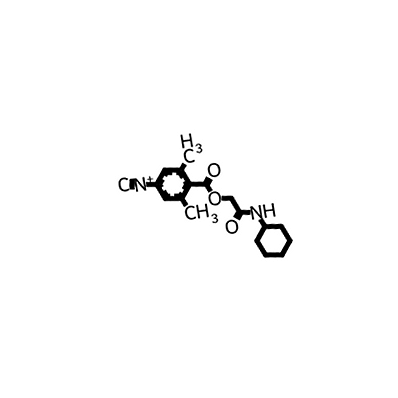 [C-]#[N+]c1cc(C)c(C(=O)OCC(=O)NC2CCCCC2)c(C)c1